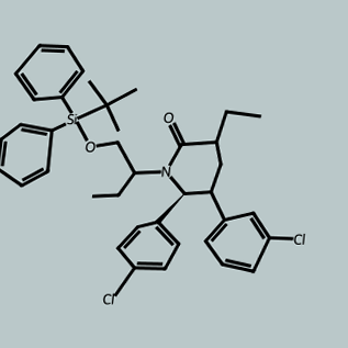 CCC1CC(c2cccc(Cl)c2)[C@@H](c2ccc(Cl)cc2)N(C(CC)CO[Si](c2ccccc2)(c2ccccc2)C(C)(C)C)C1=O